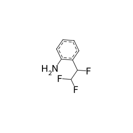 Nc1ccccc1C(F)C(F)F